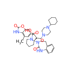 Cc1cc(CC(C(=O)N2CCN(C3CCCCC3)CC2)[C@@]2(N3CCc4ccccc4NC3=O)CCCCN2C(=O)O)cc2oc(=O)[nH]c12